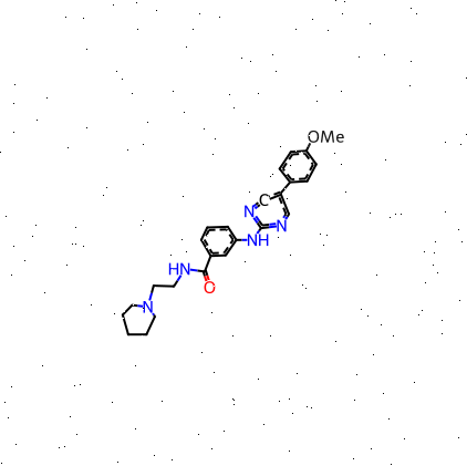 COc1ccc(-c2cnc(Nc3cccc(C(=O)NCCN4CCCCC4)c3)nc2)cc1